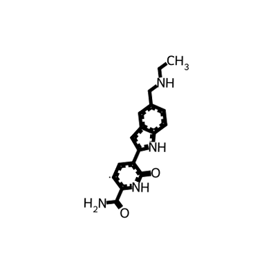 CCNCc1ccc2[nH]c(-c3c[c]c(C(N)=O)[nH]c3=O)cc2c1